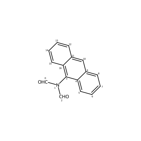 O=CN(C=O)c1c2ccccc2cc2ccccc12